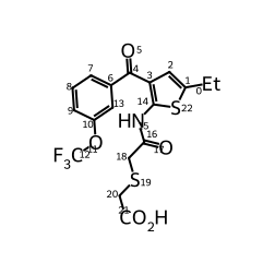 CCc1cc(C(=O)c2cccc(OC(F)(F)F)c2)c(NC(=O)CSCC(=O)O)s1